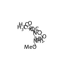 COCCNCCCN(c1ccc2c(c1)CC(C)(C)C2=O)c1cc(C(=O)NC2CC2)ccc1C